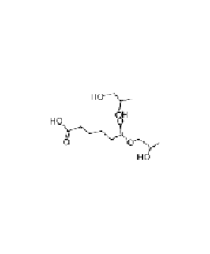 CC(O)CO.CC(O)COC(=O)CCCCC(=O)O